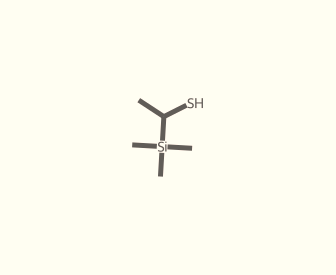 CC(S)[Si](C)(C)C